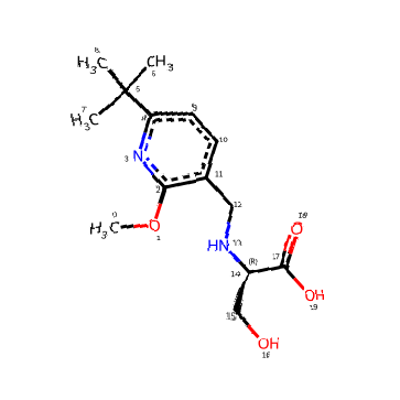 COc1nc(C(C)(C)C)ccc1CN[C@H](CO)C(=O)O